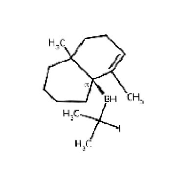 CC1=CCCC2(C)CCCC[C@@]12BC(C)(C)I